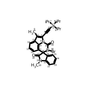 Cc1c(C#C[Si](C(C)C)(C(C)C)C(C)C)n2c3c(cccc13)C1(C(=O)N(C)c3ccccc31)N(Br)C2=O